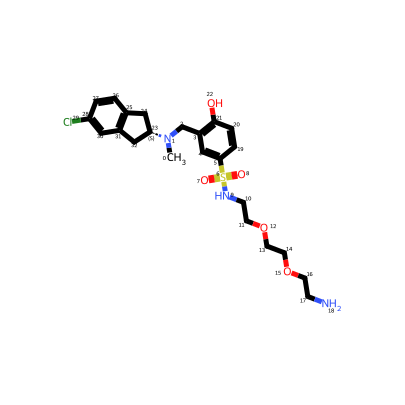 CN(Cc1cc(S(=O)(=O)NCCOCCOCCN)ccc1O)[C@H]1Cc2ccc(Cl)cc2C1